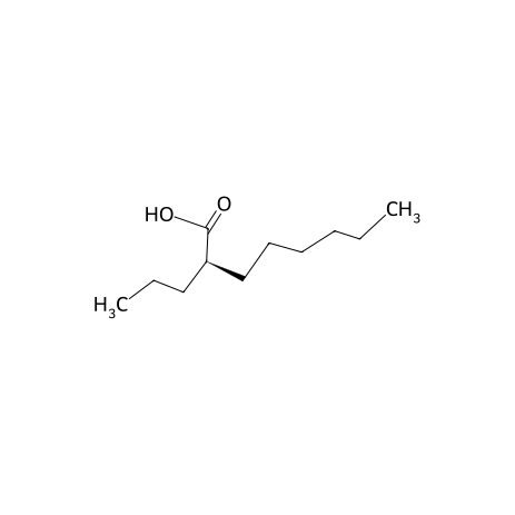 CCCCCC[C@@H](CCC)C(=O)O